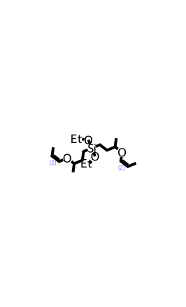 C/C=C\OC(C)CC[Si](CCC(C)O/C=C\C)(OCC)OCC